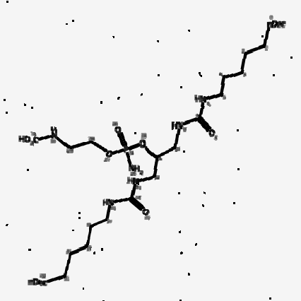 CCCCCCCCCCCCCCCNC(=O)NCC(CNC(=O)NCCCCCCCCCCCCCCC)OP(N)(=O)OCCNC(=O)O